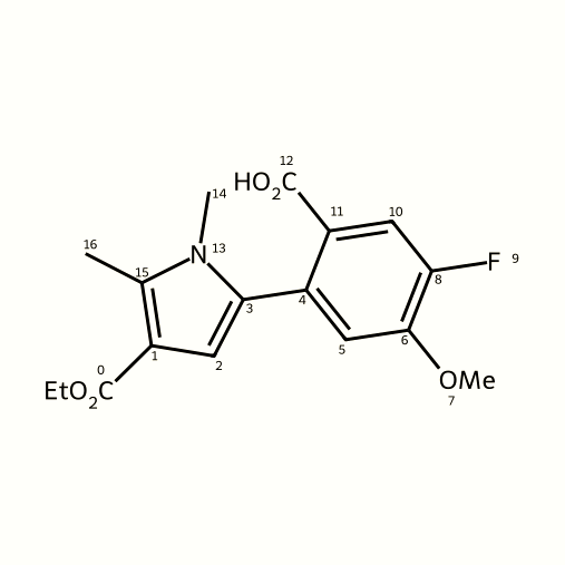 CCOC(=O)c1cc(-c2cc(OC)c(F)cc2C(=O)O)n(C)c1C